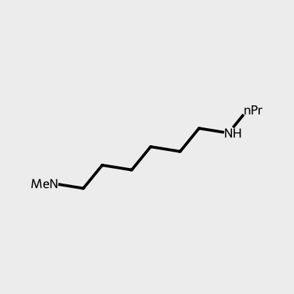 [CH2]CCNCCCCCCNC